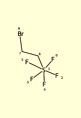 FS(F)(F)(F)(F)CCBr